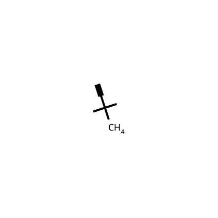 C.C#CC(C)(C)C